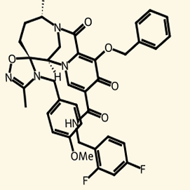 COc1ccc(CN2C(C)=NO[C@@]23CC[C@H](C)N2C[C@H]3n3cc(C(=O)NCc4ccc(F)cc4F)c(=O)c(OCc4ccccc4)c3C2=O)cc1